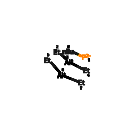 CCCC[P-2].C[CH2][Al+][CH2]C.C[CH2][Al+][CH2]C